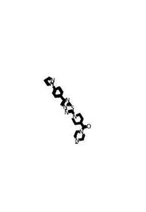 CN1CCN(C(=O)C2CCN(c3nn4cc(-c5ccc(-n6cccn6)cc5)nc4s3)CC2)CC1